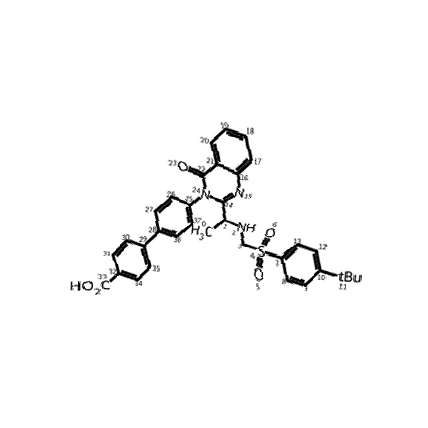 CC(NCS(=O)(=O)c1ccc(C(C)(C)C)cc1)c1nc2ccccc2c(=O)n1-c1ccc(-c2ccc(C(=O)O)cc2)cc1